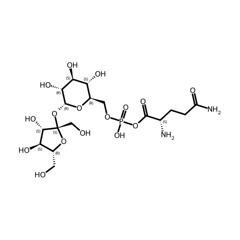 NC(=O)CC[C@H](N)C(=O)OP(=O)(O)OC[C@H]1O[C@H](O[C@]2(CO)O[C@H](CO)[C@@H](O)[C@@H]2O)[C@H](O)[C@@H](O)[C@@H]1O